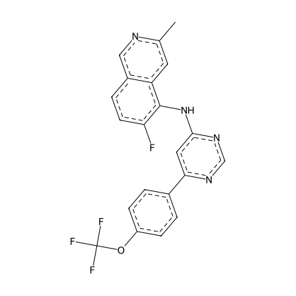 Cc1cc2c(Nc3cc(-c4ccc(OC(F)(F)F)cc4)ncn3)c(F)ccc2cn1